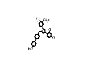 O=C(O)c1cc(-n2cc(-c3ccc(Cl)cc3Cl)cc2Cc2ccc(-c3ccc(O)cc3)cc2)ccc1C(F)(F)F